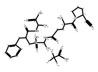 CC(NC(=O)C(Cc1ccccc1)CP(=O)(O)C(C)NC(=O)CCC(N)C(=O)N1CCCC1C#N)C(=O)O.O=C(O)C(F)(F)F